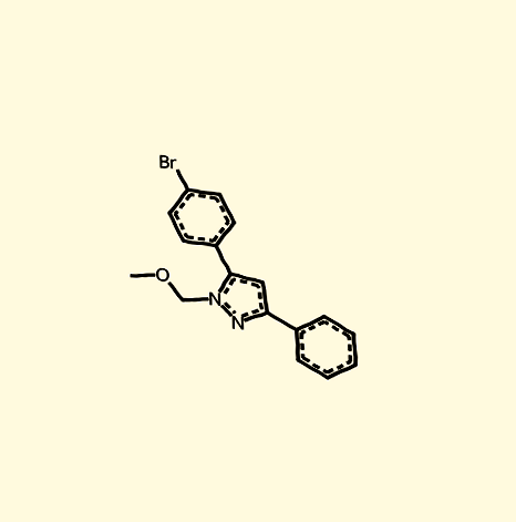 COCn1nc(-c2ccccc2)cc1-c1ccc(Br)cc1